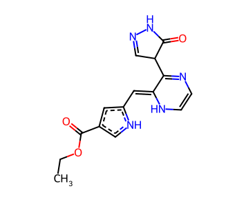 CCOC(=O)c1c[nH]c(C=C2NC=CN=C2C2C=NNC2=O)c1